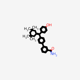 CC1(C)CC(=C(c2ccc(O)cc2)c2ccc(-c3cccc(C(N)=O)c3)cc2)CC(C)(C)C1